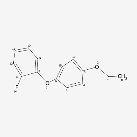 CCOc1ccc(Oc2c[c]ccc2F)cc1